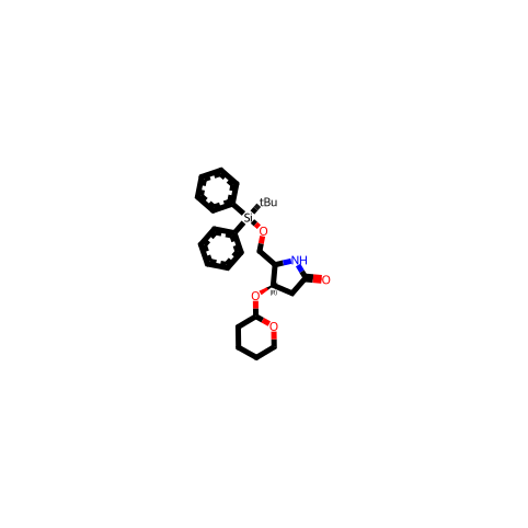 CC(C)(C)[Si](OCC1NC(=O)C[C@H]1OC1CCCCO1)(c1ccccc1)c1ccccc1